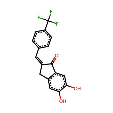 O=C1C(=Cc2ccc(C(F)(F)F)cc2)Cc2cc(O)c(O)cc21